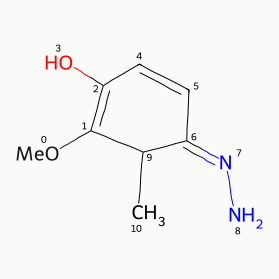 COC1=C(O)C=CC(=NN)C1C